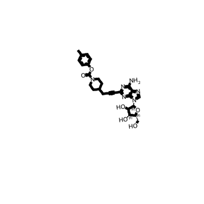 Cc1ccc(OC(=O)N2CCC(CC#Cc3nc(N)c4ncn([C@@H]5O[C@H](CO)[C@H](O)C5O)c4n3)CC2)cc1